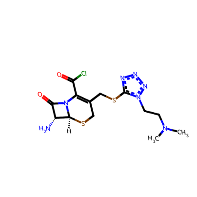 CN(C)CCn1nnnc1SCC1=C(C(=O)Cl)N2C(=O)[C@@H](N)[C@@H]2SC1